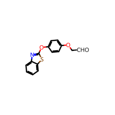 O=CCOc1ccc(Oc2nc3ccccc3s2)cc1